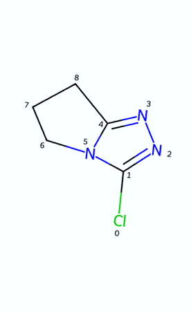 Clc1nnc2n1CCC2